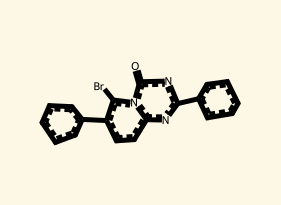 O=c1nc(-c2ccccc2)nc2ccc(-c3ccccc3)c(Br)n12